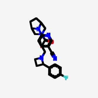 N#Cc1ccc(N2C3CCC2CN(C(=O)CCN2CCC2c2ccc(F)cc2)C3)nc1